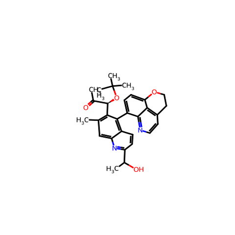 CC(=O)[C@@H](OC(C)(C)C)c1c(C)cc2nc(C(C)O)ccc2c1-c1ccc2c3c(ccnc13)CCO2